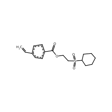 C=Cc1ccc(C(=O)OCCS(=O)(=O)C2CCCCC2)cc1